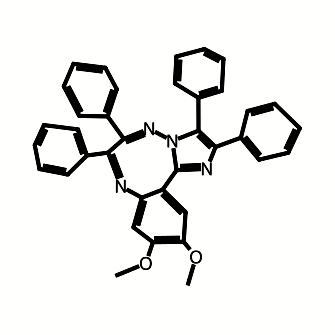 COc1cc2c(cc1OC)-c1nc(-c3ccccc3)c(-c3ccccc3)n1/N=C(c1ccccc1)\C(c1ccccc1)=N/2